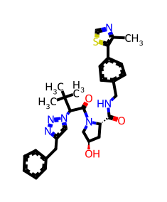 Cc1ncsc1-c1ccc(CNC(=O)[C@@H]2C[C@@H](O)CN2C(=O)C(n2cc(Cc3ccccc3)nn2)C(C)(C)C)cc1